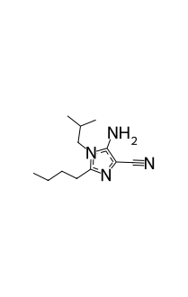 CCCCc1nc(C#N)c(N)n1CC(C)C